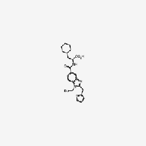 CCC(C)Cn1c(Cc2cccs2)nc2cc(C(=O)N[C@@H](CC3CCCCC3)C(=O)O)ccc21